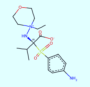 CC[N+]1(N[C@](C(=O)[O-])(C(C)C)S(=O)(=O)c2ccc(N)cc2)CCOCC1